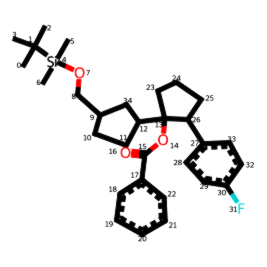 CC(C)(C)[Si](C)(C)OCC1CCC(C2(OC(=O)c3ccccc3)CCCC2c2ccc(F)cc2)C1